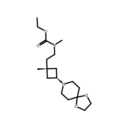 CCOC(=O)N(C)CC[C@]1(C)C[C@@H](N2CCC3(CC2)OCCO3)C1